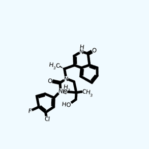 C[C@H](c1c[nH]c(=O)c2ccccc12)N(CC(C)(C)CO)C(=O)Nc1ccc(F)c(Cl)c1